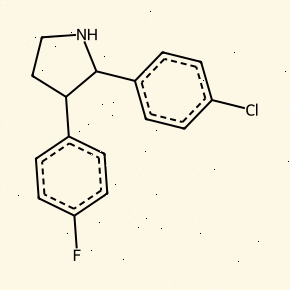 Fc1ccc(C2CCNC2c2ccc(Cl)cc2)cc1